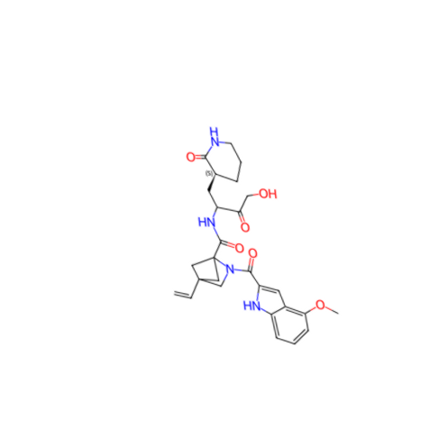 C=CC12CN(C(=O)c3cc4c(OC)cccc4[nH]3)C(C(=O)NC(C[C@@H]3CCCNC3=O)C(=O)CO)(C1)C2